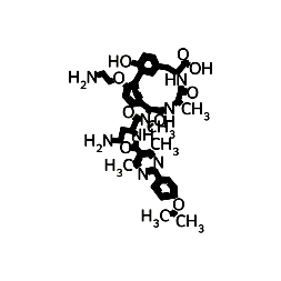 Cc1nc(-c2ccc(OC(C)C)cc2)nc(C)c1C(=O)NC(CCN)C(=O)N(C)C1C(=O)NC(C)C(=O)NC(C(=O)O)Cc2ccc(O)c(c2)-c2cc1ccc2OCCN